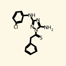 Nc1nc(Nc2cccc(Cl)c2)nn1C(=S)Cc1ccccc1